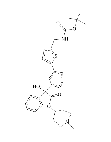 CN1CCC(OC(=O)C(O)(c2ccccc2)c2cccc(-c3ccc(CNC(=O)OC(C)(C)C)s3)c2)CC1